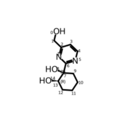 OCc1ccnc([C@]2(O)CCCC[C@H]2O)n1